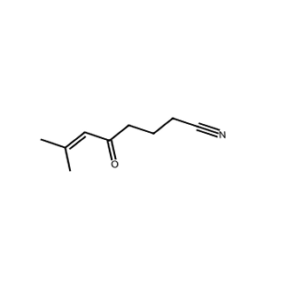 CC(C)=CC(=O)CCCC#N